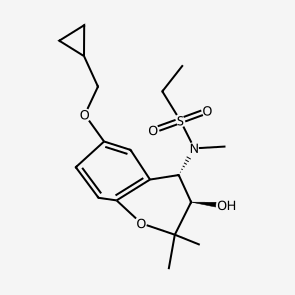 CCS(=O)(=O)N(C)[C@H]1c2cc(OCC3CC3)ccc2OC(C)(C)[C@@H]1O